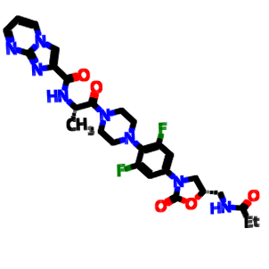 CCC(=O)NC[C@H]1CN(c2cc(F)c(N3CCN(C(=O)[C@H](C)NC(=O)c4cn5cccnc5n4)CC3)c(F)c2)C(=O)O1